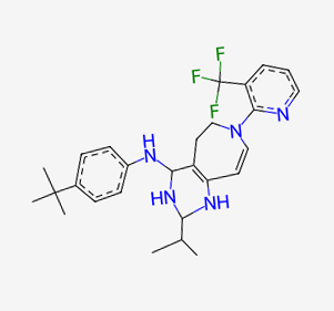 CC(C)C1NC2=C(CCN(c3ncccc3C(F)(F)F)C=C2)C(Nc2ccc(C(C)(C)C)cc2)N1